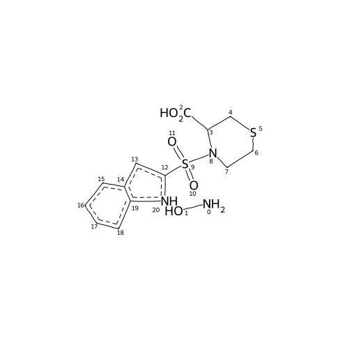 NO.O=C(O)C1CSCCN1S(=O)(=O)c1cc2ccccc2[nH]1